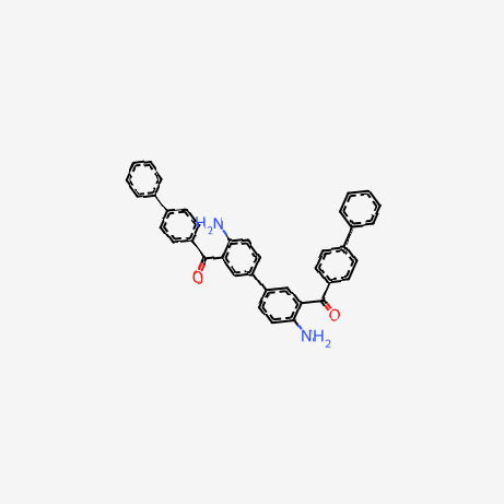 Nc1ccc(-c2ccc(N)c(C(=O)c3ccc(-c4ccccc4)cc3)c2)cc1C(=O)c1ccc(-c2ccccc2)cc1